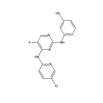 Oc1cccc(Nc2ncc(F)c(Nc3ccc(Cl)cn3)n2)c1